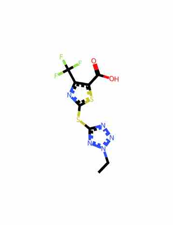 CCn1nnc(Sc2nc(C(F)(F)F)c(C(=O)O)s2)n1